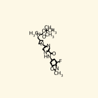 Cc1nc2c(F)cc(NC(=O)c3cnc(N4CC(CN(C)C(=O)OC(C)(C)C)C4)cn3)cc2o1